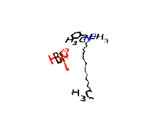 CCCCCCCCCCCCCC[N+](C)(C)Cc1ccccc1.O.[Br-]